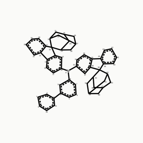 c1ccc(-c2cccc(N(c3ccc4c(c3)C3(c5ccccc5-4)C4CC5CC(C4)CC3C5)c3ccc4c(c3)C3(c5ccccc5-4)C4CC5CC(C4)CC3C5)c2)cc1